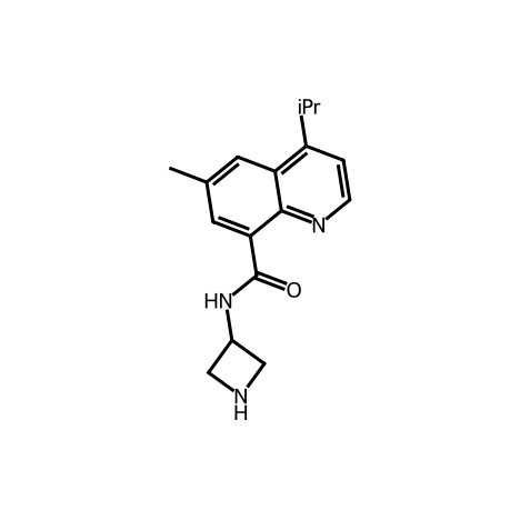 Cc1cc(C(=O)NC2CNC2)c2nccc(C(C)C)c2c1